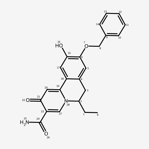 CCC1Cc2cc(OCc3ccccc3)c(O)cc2-c2cc(=O)c(C(N)=O)cn21